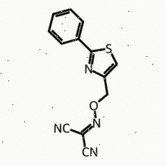 N#CC(C#N)=NOCc1csc(-c2ccccc2)n1